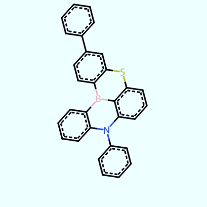 c1ccc(-c2ccc3c(c2)Sc2cccc4c2B3c2ccccc2N4c2ccccc2)cc1